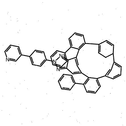 C1=CC2CC=C1c1cccc(-c3ccccc3)c1-c1cc(cc3nn(-c4ccc(-c5cccnc5)cc4)nc13)-c1c(-c3ccccc3)cccc1-c1cccc2c1